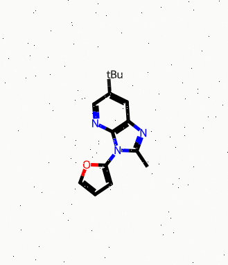 Cc1nc2cc(C(C)(C)C)cnc2n1-c1ccco1